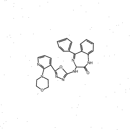 O=C1Nc2ccccc2C(c2ccccc2)=NC1Nc1nnc(-c2cccnc2N2CCOCC2)o1